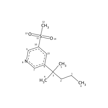 CCCC(C)(C)c1cncc(S(C)(=O)=O)c1